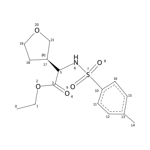 CCOC(=O)C(NS(=O)(=O)c1ccc(C)cc1)[C@H]1CCOC1